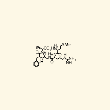 CSCC[C@H](N)C(=O)N[C@@H](CCCNC(=N)N)C(=O)NCC(=O)N[C@@H](Cc1ccccc1)C(=O)N[C@H](C(=O)O)C(C)C